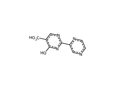 O=C(O)c1cnc(-c2cnccn2)nc1O